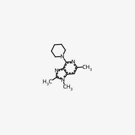 Cc1cc2c(nc(C)n2C)c(N2CCCCC2)n1